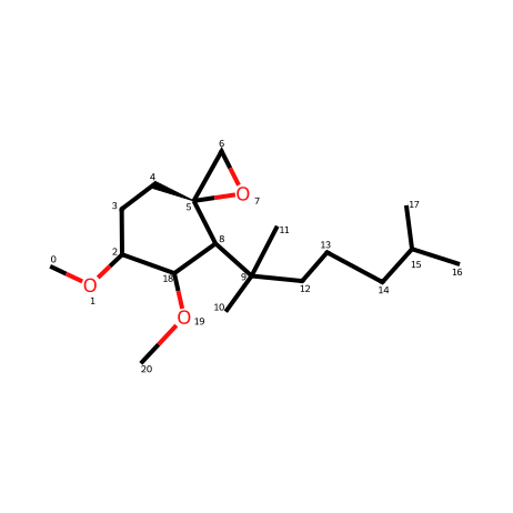 COC1CC[C@]2(CO2)C(C(C)(C)CCCC(C)C)C1OC